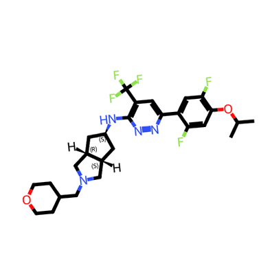 CC(C)Oc1cc(F)c(-c2cc(C(F)(F)F)c(N[C@H]3C[C@@H]4CN(CC5CCOCC5)C[C@@H]4C3)nn2)cc1F